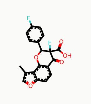 Cc1coc2ccc3c(c12)OC(c1ccc(F)cc1)C(F)(C(=O)O)C3=O